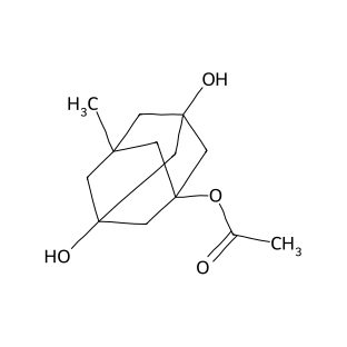 CC(=O)OC12CC3(C)CC(O)(CC(O)(C3)C1)C2